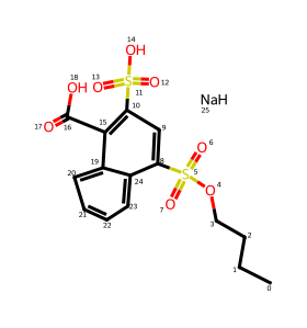 CCCCOS(=O)(=O)c1cc(S(=O)(=O)O)c(C(=O)O)c2ccccc12.[NaH]